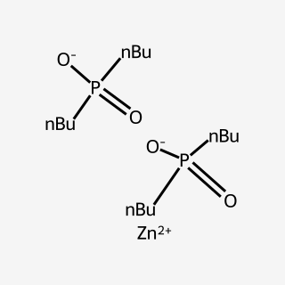 CCCCP(=O)([O-])CCCC.CCCCP(=O)([O-])CCCC.[Zn+2]